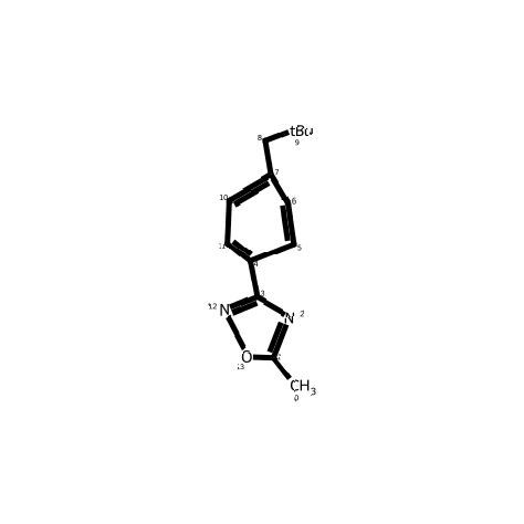 Cc1nc(-c2ccc(CC(C)(C)C)cc2)no1